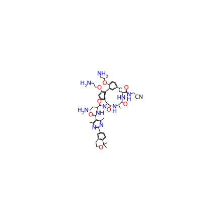 Cc1nc(-c2ccc3c(c2)CCOC3(C)C)nc(C)c1C(=O)NC(CCN)C(=O)N(C)C1C(=O)NC(C)C(=O)NC(C(=O)NCC#N)Cc2ccc(OCCN)c(c2)-c2cc1ccc2OCCN